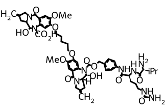 C=C1CC2C(O)N(C(=O)O)c3cc(OCCCCCOc4cc5c(cc4OC)C(=O)N4CC(=C)C[C@H]4[C@H](O)N5C(=O)OCc4ccc(NC(=O)[C@H](CCCNC(N)=O)NC(=O)[C@@H](N)C(C)C)cc4)c(OC)cc3C(=O)N2C1